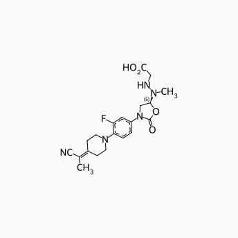 CC(C#N)=C1CCN(c2ccc(N3C[C@@H](N(C)NCC(=O)O)OC3=O)cc2F)CC1